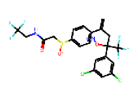 C=C(CC(ON)(c1cc(Cl)cc(Cl)c1)C(F)(F)F)c1ccc([S+]([O-])CC(=O)NCC(F)(F)F)cc1